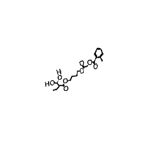 CCC(C(=O)OCCCCOC(=O)COC(=O)c1ccccc1C)C(O)O